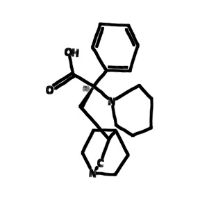 O=C(O)[C@](CC1CN2CCC1CC2)(c1ccccc1)N1CCCCC1